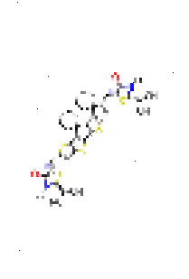 CCn1c(=C(C#N)C#N)s/c(=C\C2=Cc3sc4c(c3C23CCCCC3)C2(CCCCC2)c2c-4sc3cc(/C=c4\sc(=C(C#N)C#N)n(CC)c4=O)sc23)c1=O